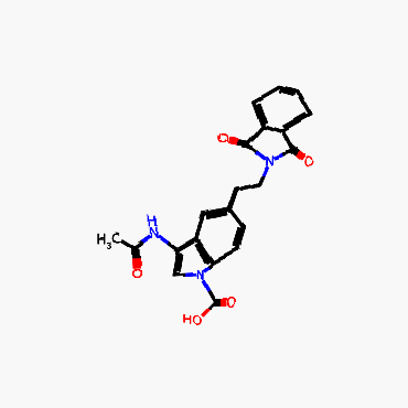 CC(=O)Nc1cn(C(=O)O)c2ccc(CCN3C(=O)c4ccccc4C3=O)cc12